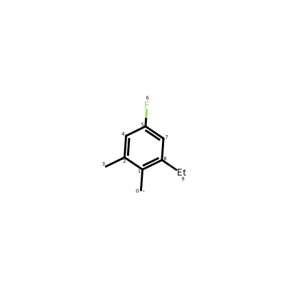 [CH2]c1c(C)cc(F)cc1CC